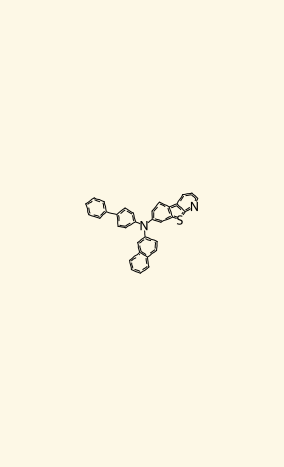 c1ccc(-c2ccc(N(c3ccc4ccccc4c3)c3ccc4c(c3)sc3ncccc34)cc2)cc1